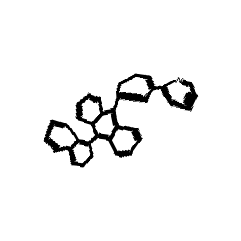 C1=CC2C(C3=CC(c4ccccn4)=CCC3)=c3ccccc3=C(C3=c4ccccc4=CCC3)C2C=C1